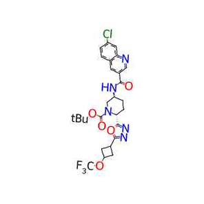 CC(C)(C)OC(=O)N1C[C@@H](NC(=O)c2cnc3cc(Cl)ccc3c2)CC[C@@H]1c1nnc(C2CC(OC(F)(F)F)C2)o1